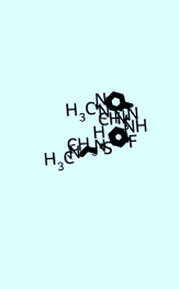 Cc1nc2c(n1C)-c1nc(Nc3ccc(SNCCCN(C)C)cc3F)ncc1CC2